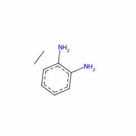 CC.Nc1ccccc1N